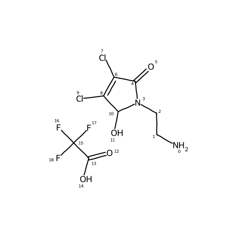 NCCN1C(=O)C(Cl)=C(Cl)C1O.O=C(O)C(F)(F)F